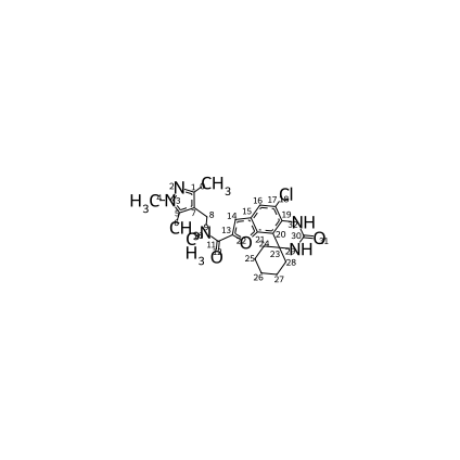 Cc1nn(C)c(C)c1CN(C)C(=O)c1cc2cc(Cl)c3c(c2o1)C1(CCCCC1)NC(=O)N3